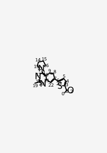 CC(=O)c1ccc(-c2ccc3c(N4CCCC4)nc(C)nc3c2)s1